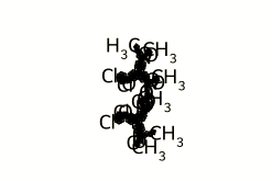 CCCCC/C(=N\OC(C)=O)c1ccc(-n2c3ccc(C(=O)c4ccc(Cl)cc4Cl)cc3c3cc(/C(CCOCCOO/C=C\C(=N/OC(C)=O)c4ccc5c(c4)c4cc(C(=O)c6ccc(Cl)cc6Cl)ccc4n5-c4ccc(/C(CCCCC)=N/OC(C)=O)cc4)=N\OC(C)=O)ccc32)cc1